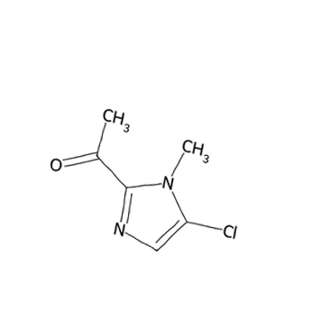 CC(=O)c1ncc(Cl)n1C